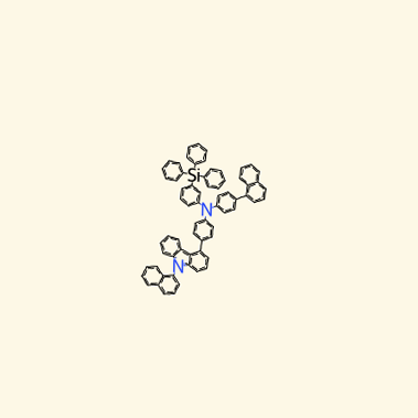 c1ccc([Si](c2ccccc2)(c2ccccc2)c2cccc(N(c3ccc(-c4cccc5ccccc45)cc3)c3ccc(-c4cccc5c4c4ccccc4n5-c4cccc5ccccc45)cc3)c2)cc1